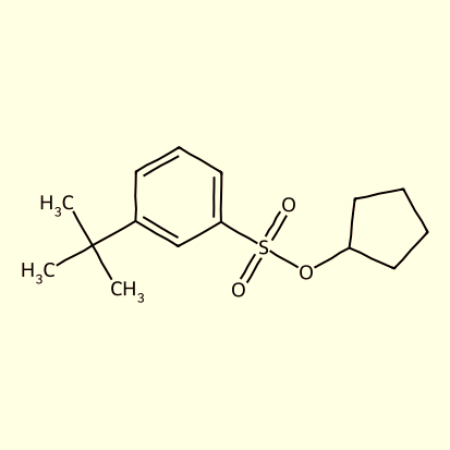 CC(C)(C)c1cccc(S(=O)(=O)OC2CCCC2)c1